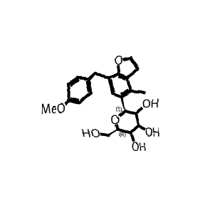 COc1ccc(Cc2cc([C@@H]3O[C@H](CO)C(O)C(O)C3O)c(C)c3c2OCC3)cc1